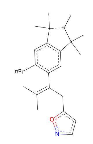 CCCc1cc2c(cc1C(Cc1ccno1)=C(C)C)C(C)(C)C(C)C2(C)C